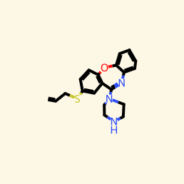 C=CCSc1ccc2c(c1)C(N1CCNCC1)=Nc1ccccc1O2